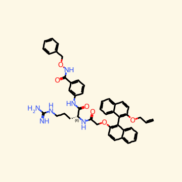 C=CCOc1ccc2ccccc2c1-c1c(OCC(=O)N[C@H](CCCNC(=N)N)C(=O)Nc2cccc(C(=O)NOCc3ccccc3)c2)ccc2ccccc12